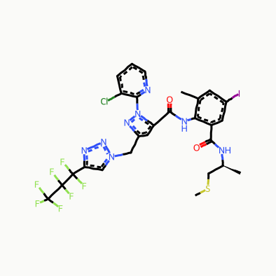 CSC[C@H](C)NC(=O)c1cc(I)cc(C)c1NC(=O)c1cc(Cn2cc(C(F)(F)C(F)(F)C(F)(F)F)nn2)nn1-c1ncccc1Cl